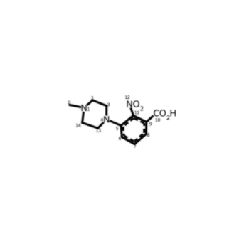 CN1CCN(c2cccc(C(=O)O)c2[N+](=O)[O-])CC1